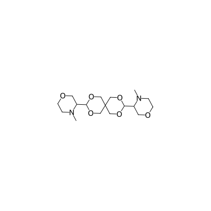 CN1CCOCC1C1OCC2(CO1)COC(C1COCCN1C)OC2